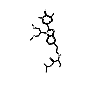 CCC(NCCc1ccc2c(c1)nc(-c1cc(C)c(=O)n(C)c1)n2C(COC)COC)C(=O)OC(C)C